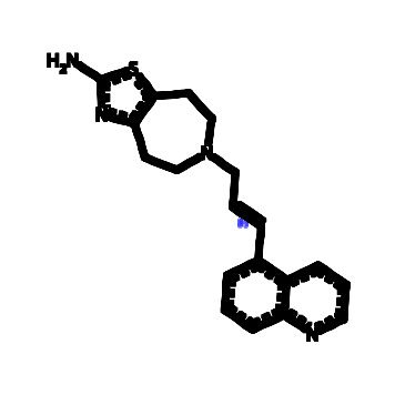 Nc1nc2c(s1)CCN(C/C=C/c1cccc3ncccc13)CC2